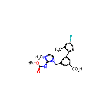 Cn1ccn(Cc2cc(C(=O)O)cc(-c3ccc(F)cc3C(F)(F)F)c2)c1=NC(=O)OC(C)(C)C